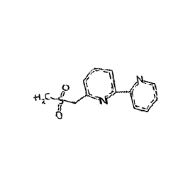 [CH2]S(=O)(=O)Cc1cccc(-c2ccccn2)n1